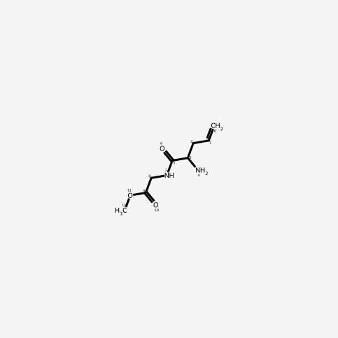 C=CCC(N)C(=O)NCC(=O)OC